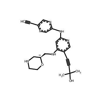 C#Cc1cnc(Nc2cc(NC[C@@H]3CNCCO3)c(C#CC(C)(C)O)cn2)cn1